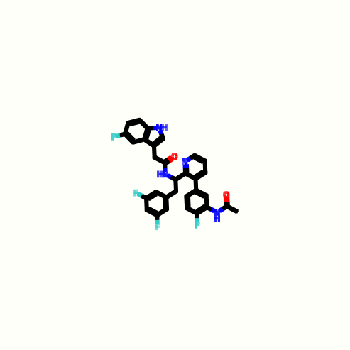 CC(=O)Nc1cc(-c2cccnc2C(Cc2cc(F)cc(F)c2)NC(=O)Cc2c[nH]c3ccc(F)cc23)ccc1F